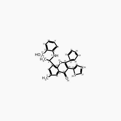 Cc1cc(C(C)Nc2ccccc2C(=O)O)c2oc(-c3ccccc3)c(-c3cncs3)c(=O)c2c1